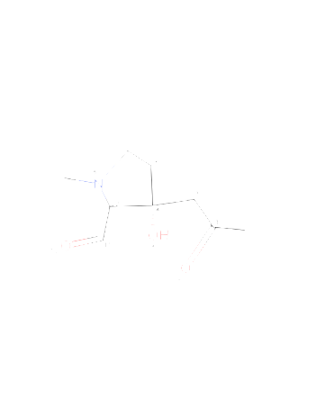 CC(=O)C[C@]1(O)CCN(C)C1C=O